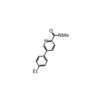 CCc1ccc(-c2ccc(C(=O)NC)nc2)cc1